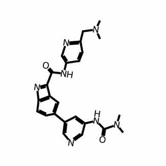 CN(C)Cc1ccc(NC(=O)C2=Nc3ccc(-c4cncc(NC(=O)N(C)C)c4)cc32)cn1